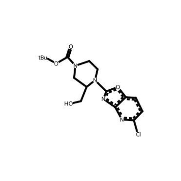 CC(C)(C)OC(=O)N1CCN(c2nc3nc(Cl)ccc3o2)C(CO)C1